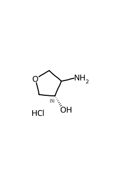 Cl.NC1COC[C@H]1O